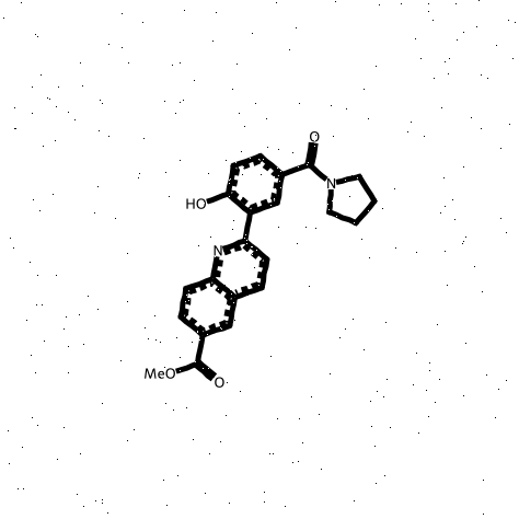 COC(=O)c1ccc2nc(-c3cc(C(=O)N4CCCC4)ccc3O)ccc2c1